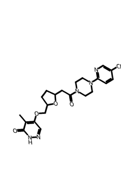 Cc1c(OCC2CCC(CC(=O)N3CCN(c4ccc(C#N)cn4)CC3)O2)cn[nH]c1=O